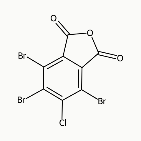 O=C1OC(=O)c2c(Br)c(Br)c(Cl)c(Br)c21